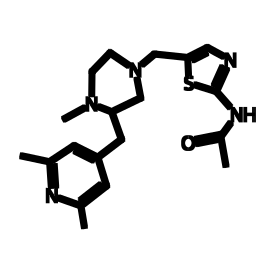 CC(=O)Nc1ncc(CN2CCN(C)C(Cc3cc(C)nc(C)c3)C2)s1